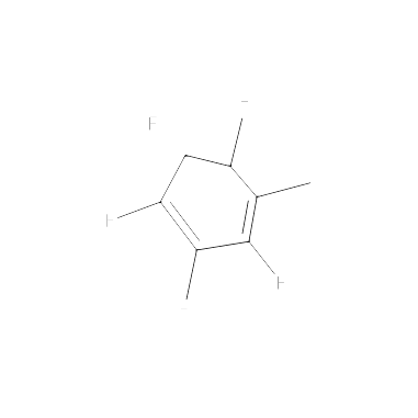 CC1=C(F)C(F)=C(F)[C@H](F)C1F